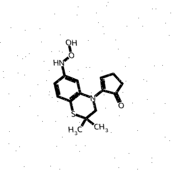 CC1(C)CN(C2=CCCC2=O)c2cc(NOO)ccc2S1